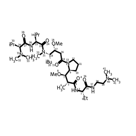 CC[C@H](NC(=O)[C@H](C)[C@@H](OC)[C@@H]1CCCN1C(=O)C[C@@H](OC)[C@H]([C@@H](C)CC)N(C)C(=O)[C@@H](NC(=O)[C@H](C(C)C)N(C)C)C(C)C)C(=O)NCCN(C)C